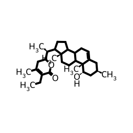 CCC1=C(C)CC([C@@H](C)C2CCC3C4CC=C5C[C@@H](C)C[C@H](O)[C@]5(C)C4CC[C@@]32C)OC1=O